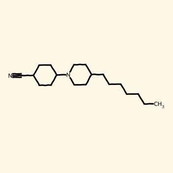 CCCCCCCC1CCN(C2CCC(C#N)CC2)CC1